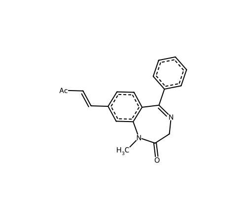 CC(=O)/C=C/c1ccc2c(c1)N(C)C(=O)CN=C2c1ccccc1